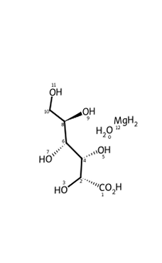 O.O=C(O)[C@H](O)[C@@H](O)[C@H](O)[C@H](O)CO.[MgH2]